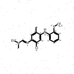 CCN(C)C=Nc1cc(C)c(Nc2ccccc2SC(F)(F)F)cc1Cl